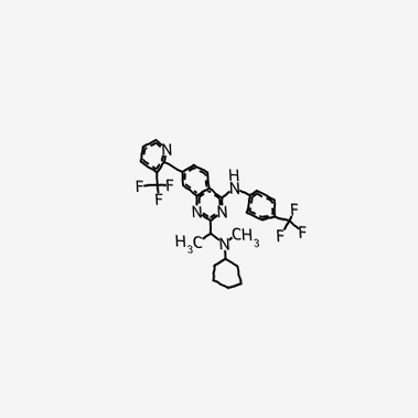 CC(c1nc(Nc2ccc(C(F)(F)F)cc2)c2ccc(-c3ncccc3C(F)(F)F)cc2n1)N(C)C1CCCCC1